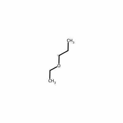 CC[C]OCC